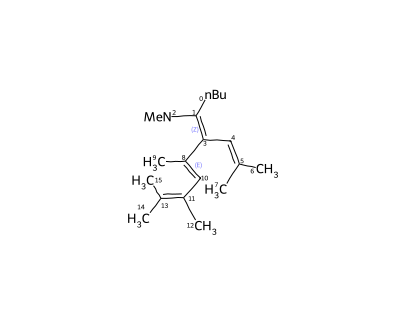 CCCC/C(NC)=C(C=C(C)C)/C(C)=C/C(C)=C(C)C